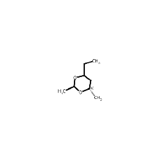 CCC1C[C@H](C)OC(C)O1